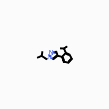 CC(C)Cn1cc(-c2ccccc2C(C)C)cn1